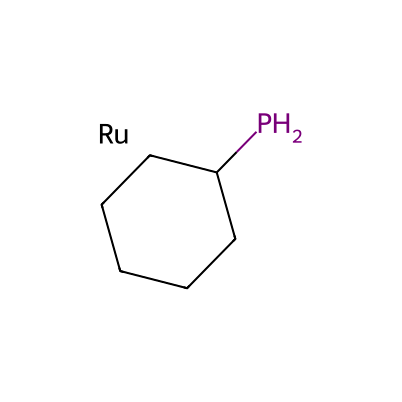 PC1CCCCC1.[Ru]